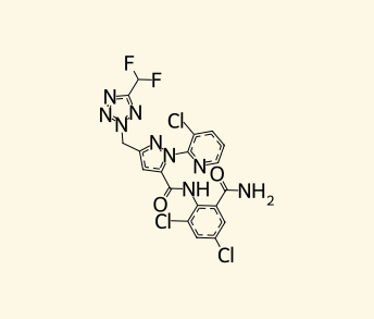 NC(=O)c1cc(Cl)cc(Cl)c1NC(=O)c1cc(Cn2nnc(C(F)F)n2)nn1-c1ncccc1Cl